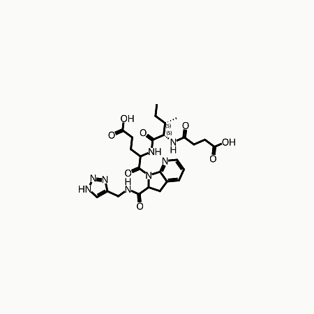 CC[C@H](C)[C@H](NC(=O)CCC(=O)O)C(=O)NC(CCC(=O)O)C(=O)N1c2ncccc2CC1C(=O)NCc1c[nH]nn1